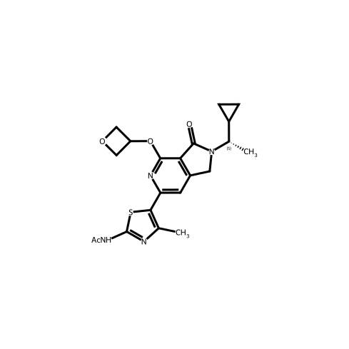 CC(=O)Nc1nc(C)c(-c2cc3c(c(OC4COC4)n2)C(=O)N([C@@H](C)C2CC2)C3)s1